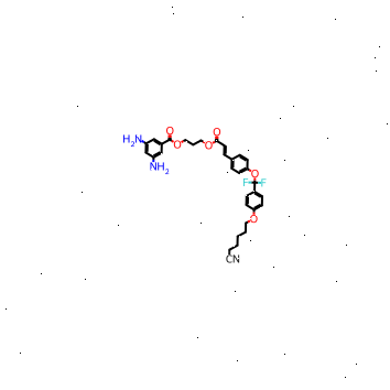 N#CCCCCCOc1ccc(C(F)(F)Oc2ccc(C=CC(=O)OCCCOC(=O)c3cc(N)cc(N)c3)cc2)cc1